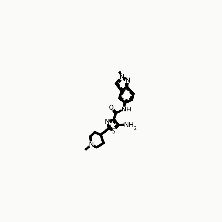 CN1CCC(c2nc(C(=O)Nc3ccc4nn(C)cc4c3)c(N)s2)CC1